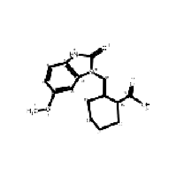 COc1ccc2[nH]c(=O)n(CC3CCCCC3C(=O)O)c2c1